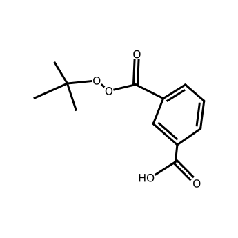 CC(C)(C)OOC(=O)c1cccc(C(=O)O)c1